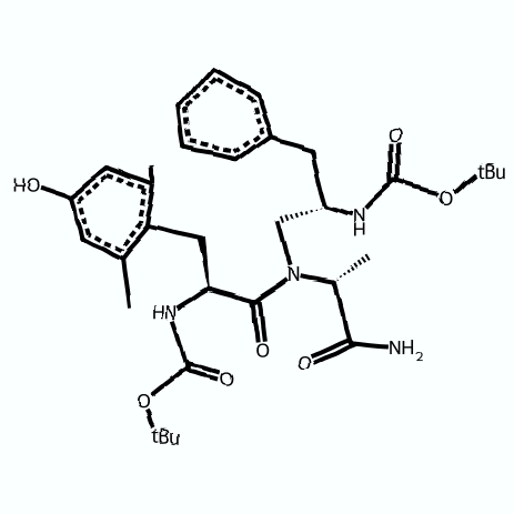 Cc1cc(O)cc(C)c1C[C@H](NC(=O)OC(C)(C)C)C(=O)N(C[C@H](Cc1ccccc1)NC(=O)OC(C)(C)C)[C@H](C)C(N)=O